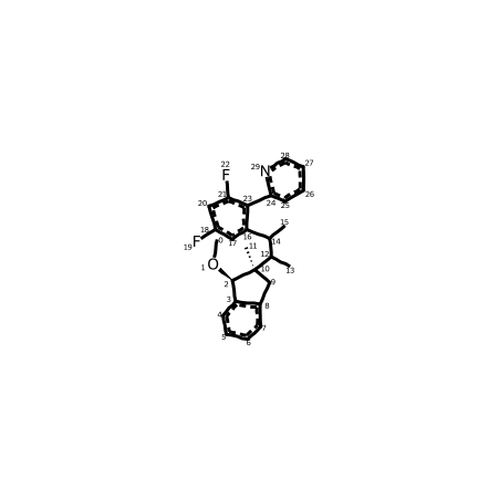 CO[C@@H]1c2ccccc2C[C@]1(C)C(C)C(C)c1cc(F)cc(F)c1-c1ccccn1